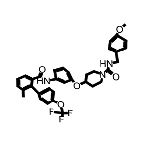 COc1ccc(CNC(=O)N2CCC(Oc3cccc(NC(=O)c4cccc(C)c4-c4ccc(OC(F)(F)F)cc4)c3)CC2)cc1